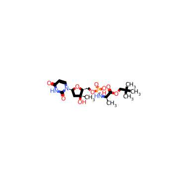 C[C@H](NP(=O)(O)OC[C@H]1O[C@@H](n2ccc(=O)[nH]c2=O)C[C@]1(C)O)C(=O)OCC(C)(C)C